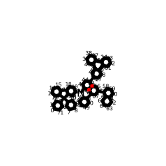 c1ccc(C2(c3ccccc3)c3ccccc3-c3ccc(N(c4ccc(-c5ccc6c7ccccc7c7ccccc7c6c5)cc4)c4ccccc4-c4cccc(-c5cccc6ccccc56)c4)cc32)cc1